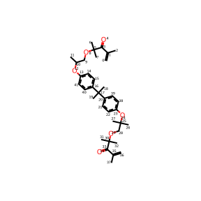 C=C(C)C(=O)C(C)(C)OCC(C)Oc1ccc(C(C)(C)c2ccc(OC(C)(C)COC(C)(C)C(=O)C(=C)C)cc2)cc1